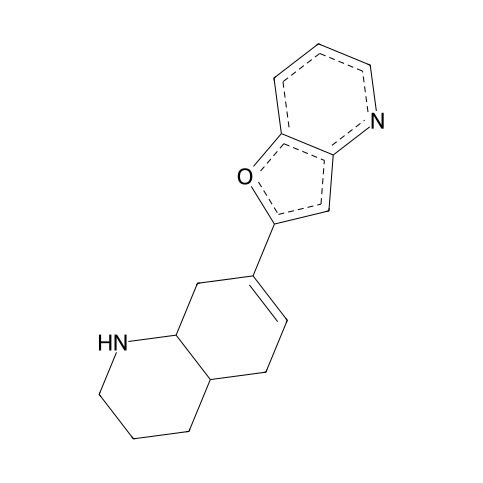 C1=C(c2cc3ncccc3o2)CC2NCCCC2C1